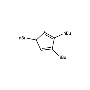 CCCCC1=[C]C(CCCC)C=C1CCCC